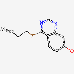 COCCSc1ncnc2cc(O)ccc12